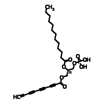 C#CC#CC#CC#CC(=O)OC[C@H](COP(=O)(O)O)OC(=O)CCCCCCCCCCCC